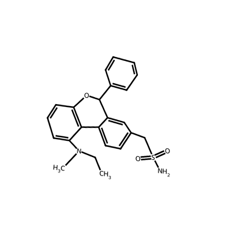 CCN(C)c1cccc2c1-c1ccc(CS(N)(=O)=O)cc1C(c1ccccc1)O2